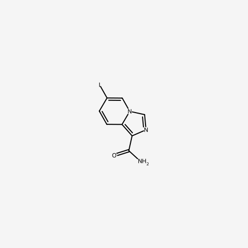 NC(=O)c1ncn2cc(I)ccc12